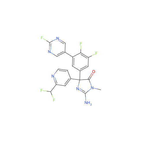 CN1C(=O)C(c2ccnc(C(F)F)c2)(c2cc(F)c(F)c(-c3cnc(F)nc3)c2)N=C1N